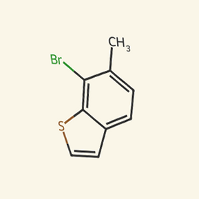 Cc1ccc2ccsc2c1Br